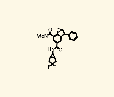 CNC(=O)c1cc(C(=O)NC2C3CC(F)(F)CC32)cc2c1OCC2c1ccccc1